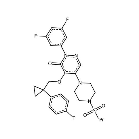 CC(C)S(=O)(=O)N1CCN(c2cnn(-c3cc(F)cc(F)c3)c(=O)c2OCC2(c3ccc(F)cc3)CC2)CC1